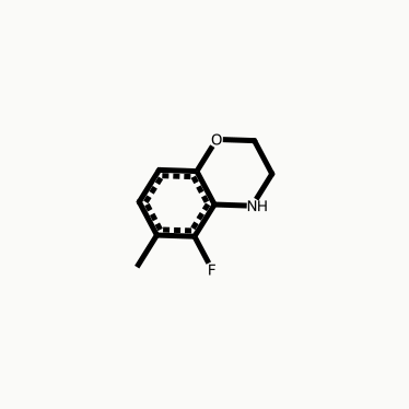 Cc1ccc2c(c1F)NCCO2